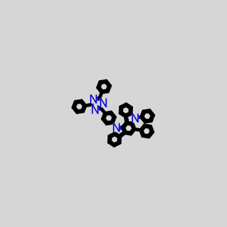 c1ccc(-c2nc(-c3ccccc3)nc(-c3ccc(-n4c5ccccc5c5cc(-c6ccccc6)c6c(c7ccccc7n6-c6ccccc6)c54)cc3)n2)cc1